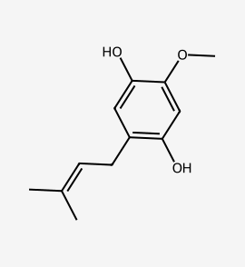 COc1cc(O)c(CC=C(C)C)cc1O